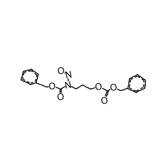 O=NN(CCCOC(=O)OCc1ccccc1)C(=O)OCc1ccccc1